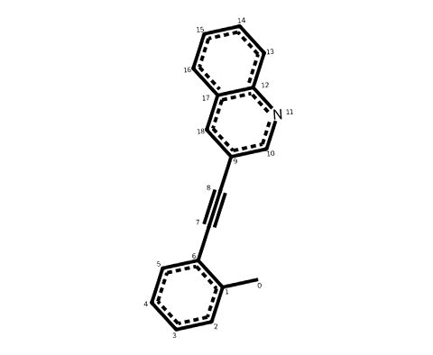 Cc1ccccc1C#Cc1cnc2ccccc2c1